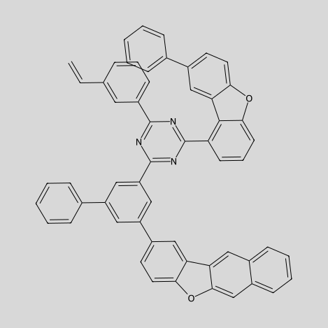 C=Cc1cccc(-c2nc(-c3cc(-c4ccccc4)cc(-c4ccc5oc6cc7ccccc7cc6c5c4)c3)nc(-c3cccc4oc5ccc(-c6ccccc6)cc5c34)n2)c1